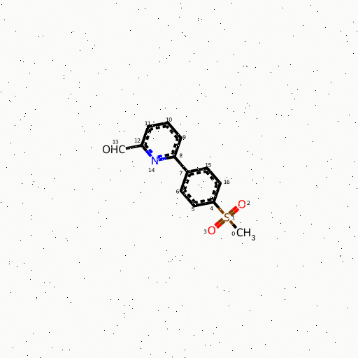 CS(=O)(=O)c1ccc(-c2cccc(C=O)n2)cc1